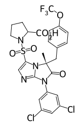 C[C@@]1(Cc2ccc(OC(F)(F)F)cc2)C(=O)N(c2cc(Cl)cc(Cl)c2)c2ncc(S(=O)(=O)N3CCCC3C(=O)O)n21